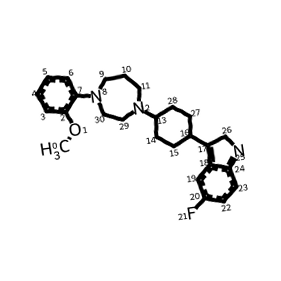 COc1ccccc1N1CCCN(C2CCC(C3=c4cc(F)ccc4=NC3)CC2)CC1